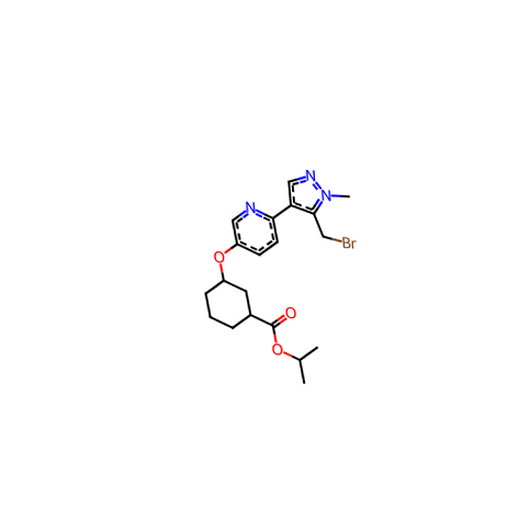 CC(C)OC(=O)C1CCCC(Oc2ccc(-c3cnn(C)c3CBr)nc2)C1